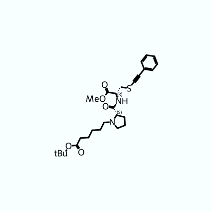 COC(=O)[C@H](CSC#Cc1ccccc1)NC(=O)[C@@H]1CCCN1CCCCCC(=O)OC(C)(C)C